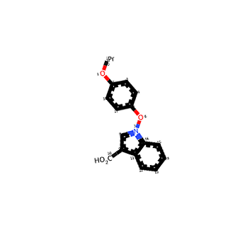 CC(C)Oc1ccc(On2cc(C(=O)O)c3ccccc32)cc1